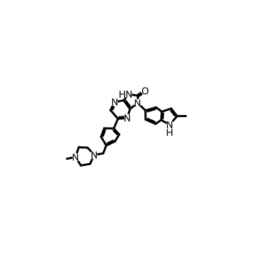 Cc1cc2cc(-n3c(=O)[nH]c4ncc(-c5ccc(CN6CCN(C)CC6)cc5)nc43)ccc2[nH]1